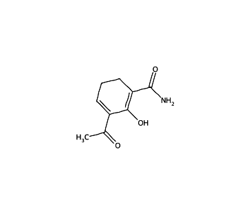 CC(=O)C1=CCCC(C(N)=O)=C1O